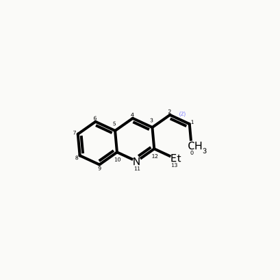 C/C=C\c1cc2ccccc2nc1CC